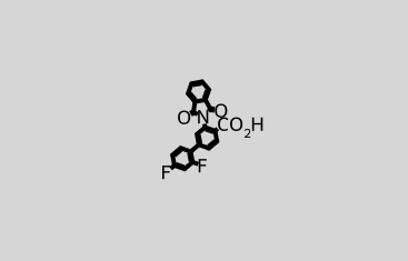 O=C(O)c1ccc(-c2ccc(F)cc2F)cc1N1C(=O)c2ccccc2C1=O